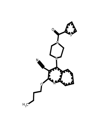 CCCCOc1nc2ccccc2c(N2CCN(C(=O)c3cccs3)CC2)c1C#N